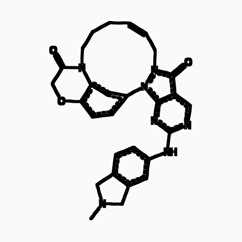 CN1Cc2ccc(Nc3ncc4c(=O)n5n(c4n3)-c3ccc4c(c3)N(CCC/C=C\C5)C(=O)CO4)cc2C1